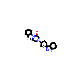 Cc1ccccc1N1CCN(C2CCC(N)(c3ccccc3)CC2)CC1=O